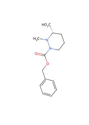 CN1[C@H](C(=O)O)CCCN1C(=O)OCc1ccccc1